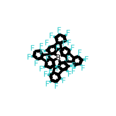 Fc1c(F)c(F)c2c(c1F)Cc1c-2c(F)c(F)c(F)c1[B-](c1c(F)c(F)c(F)c2c1Cc1c(F)c(F)c(F)c(F)c1-2)(c1c(F)c(F)c(F)c2c1Cc1c(F)c(F)c(F)c(F)c1-2)c1c(F)c(F)c(F)c2c1Cc1c(F)c(F)c(F)c(F)c1-2